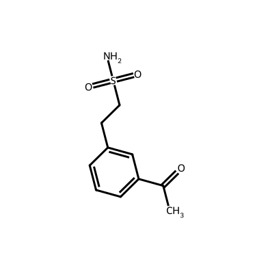 CC(=O)c1cccc(CCS(N)(=O)=O)c1